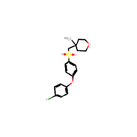 O=C(O)C1(CS(=O)(=O)c2ccc(Oc3ccc(Cl)cc3)cc2)CCOCC1